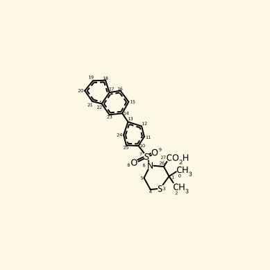 CC1(C)SCCN(S(=O)(=O)c2ccc(-c3ccc4ccccc4c3)cc2)C1C(=O)O